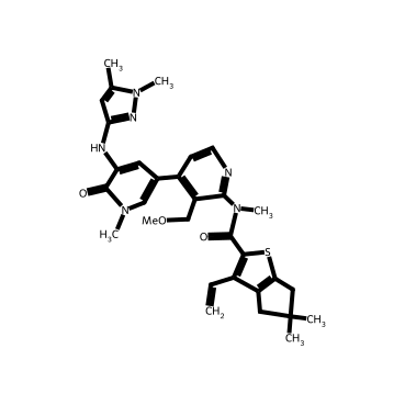 C=Cc1c(C(=O)N(C)c2nccc(-c3cc(Nc4cc(C)n(C)n4)c(=O)n(C)c3)c2COC)sc2c1CC(C)(C)C2